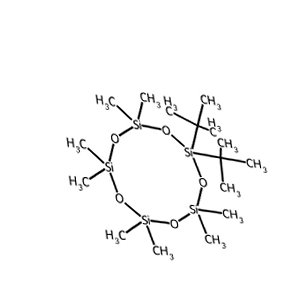 CC(C)(C)[Si]1(C(C)(C)C)O[Si](C)(C)O[Si](C)(C)O[Si](C)(C)O[Si](C)(C)O1